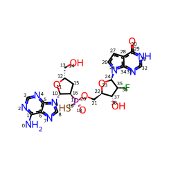 Nc1ncnc2c1ncn2[C@@H]1O[C@H](CO)C[C@H]1P(=O)(S)OC[C@H]1O[C@@H](n2ccc3c(=O)[nH]cnc32)[C@@H](F)[C@@H]1O